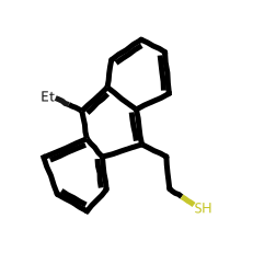 CCc1c2ccccc2c(CCS)c2ccccc12